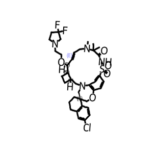 CN1C/C=C/[C@H](OCCN2CCC(F)(F)C2)[C@@H]2CC[C@H]2CN2C[C@@]3(CCCc4cc(Cl)ccc43)COc3ccc(cc32)S(=O)(=O)NC(=O)C1(C)C